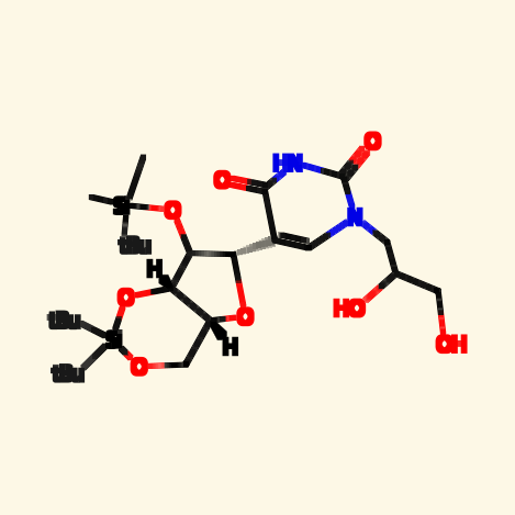 CC(C)(C)[Si](C)(C)OC1[C@H]2O[Si](C(C)(C)C)(C(C)(C)C)OC[C@H]2O[C@H]1c1cn(CC(O)CO)c(=O)[nH]c1=O